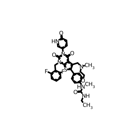 CCNC(=O)Nc1ccc(-c2sc3c(c2CN(C)CCOC)c(=O)n(-c2ccc(=O)[nH]c2)c(=O)n3Cc2c(F)cccc2F)cc1